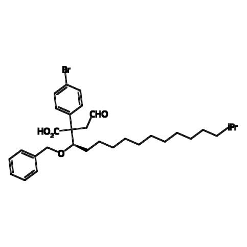 CC(C)CCCCCCCCCCC[C@@H](OCc1ccccc1)C(CC=O)(C(=O)O)c1ccc(Br)cc1